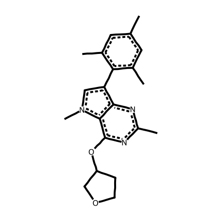 Cc1cc(C)c(-c2cn(C)c3c(OC4CCOC4)nc(C)nc23)c(C)c1